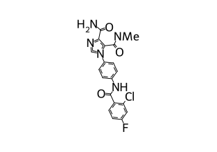 CNC(=O)c1c(C(N)=O)ncn1-c1ccc(NC(=O)c2ccc(F)cc2Cl)cc1